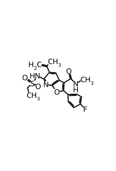 C=C(C)c1cc2c(C(=O)NC)c(-c3ccc(F)cc3)oc2nc1NS(=O)(=O)CC